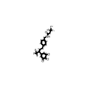 O=C(CC(F)(F)F)NCc1ccc(C/C=C(\c2cc(Cl)c(Cl)c(Cl)c2)C(F)(F)F)cc1